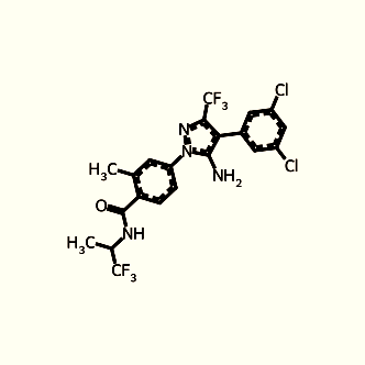 Cc1cc(-n2nc(C(F)(F)F)c(-c3cc(Cl)cc(Cl)c3)c2N)ccc1C(=O)NC(C)C(F)(F)F